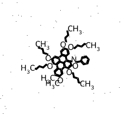 CCCCCOc1cc2c(cc1OCCCCC)c1c3nc(-c4ccccc4)oc3c(OCCCCC)c3c4cc(OC)c(C)cc4c4c(OCCCCC)c(OCCCCC)cc2c4c31